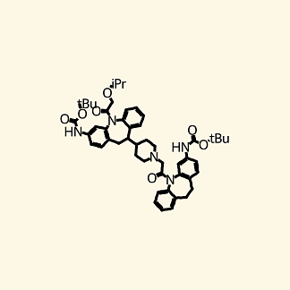 CC(C)OCC(=O)N1c2cc(NC(=O)OC(C)(C)C)ccc2CC(C2CCN(CC(=O)N3c4ccccc4CCc4ccc(NC(=O)OC(C)(C)C)cc43)CC2)c2ccccc21